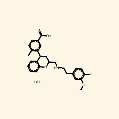 COc1cc(CCNCC2CC(c3cc(C(=O)O)ccc3C)c3ccccc3O2)ccc1F.Cl